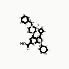 C[C@@H]1CN(c2cc(C(=O)O)nc3c2c(C2CCC2)nn3C2CCCCC2)CCN1Cc1ccccc1